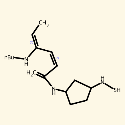 C=C(/C=C\C(=C/C)NCCCC)NC1CCC(NS)C1